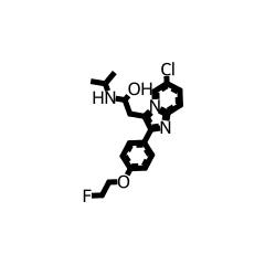 CC(C)NC(O)Cc1c(-c2ccc(OCCF)cc2)nc2ccc(Cl)cn12